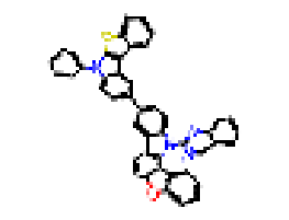 c1ccc(-n2c3ccc(-c4ccc5c(c4)c4ccc6oc7ccccc7c6c4n5-c4ncc5ccccc5n4)cc3c3c4ccccc4sc32)cc1